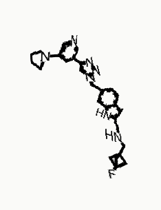 FC12CC(CNCc3cc4ccc(Cn5cc(-c6cncc(N7CCCC7)c6)nn5)cc4[nH]3)(C1)C2